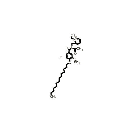 CCCCCCCCCCCCCCOc1ccc(C(=O)N(Cc2cccc[n+]2CC)C(C)=O)cc1OC.[I-]